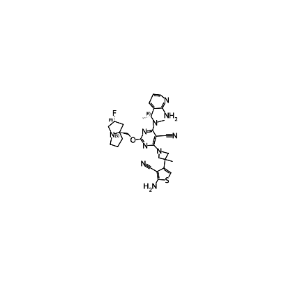 C[C@H](c1cccnc1N)N(C)c1nc(OC[C@@]23CCCN2C[C@H](F)C3)nc(N2CC(C)(c3csc(N)c3C#N)C2)c1C#N